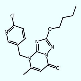 CCCCOc1nc2n(Cc3ccc(Cl)nc3)c(C)cc(=O)n2n1